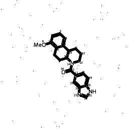 COc1cccc2c1CCC1C2CCCN1C(=O)c1ccc2[nH]cnc2c1